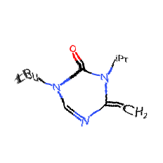 C=C1N=CN(C(C)(C)C)C(=O)N1C(C)C